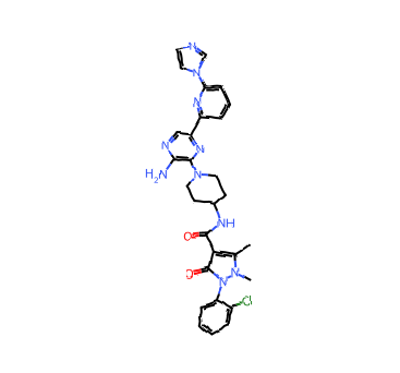 Cc1c(C(=O)NC2CCN(c3nc(-c4cccc(-n5ccnc5)n4)cnc3N)CC2)c(=O)n(-c2ccccc2Cl)n1C